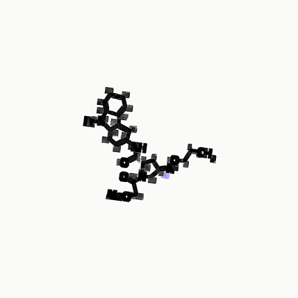 C=CCO/N=C1\C[C@@H](C(=O)Nc2ccc3c(c2)c2ccccc2n3CC)N(C(=O)COC)C1